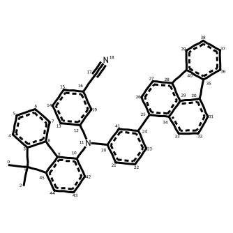 CC1(C)c2ccccc2-c2c(N(c3cccc(C#N)c3)c3cccc(-c4ccc5c6c(cccc46)-c4ccccc4-5)c3)cccc21